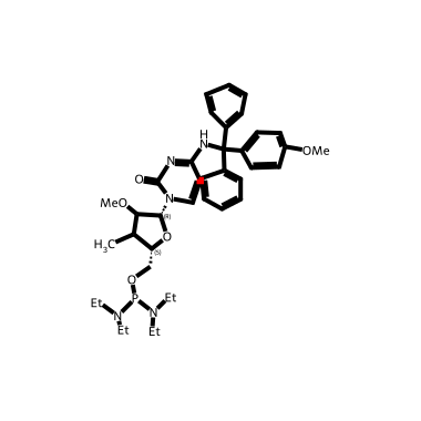 CCN(CC)P(OC[C@H]1O[C@@H](n2ccc(NC(c3ccccc3)(c3ccccc3)c3ccc(OC)cc3)nc2=O)C(OC)C1C)N(CC)CC